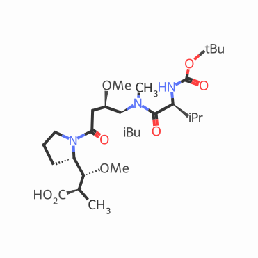 CC[C@H](C)[C@@H]([C@@H](CC(=O)N1CCC[C@H]1[C@H](OC)[C@@H](C)C(=O)O)OC)N(C)C(=O)[C@@H](NC(=O)OC(C)(C)C)C(C)C